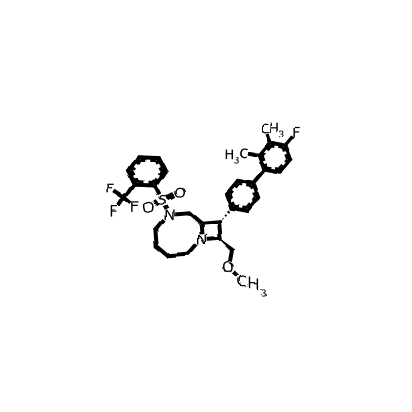 COC[C@@H]1[C@@H](c2ccc(-c3ccc(F)c(C)c3C)cc2)C2CN(S(=O)(=O)c3ccccc3C(F)(F)F)CCCCN21